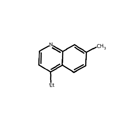 CCc1ccnc2cc(C)ccc12